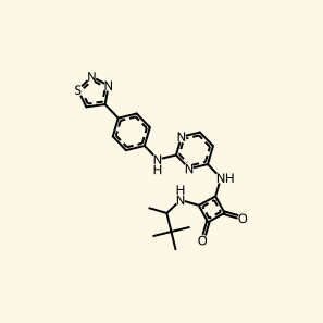 CC(Nc1c(Nc2ccnc(Nc3ccc(-c4csnn4)cc3)n2)c(=O)c1=O)C(C)(C)C